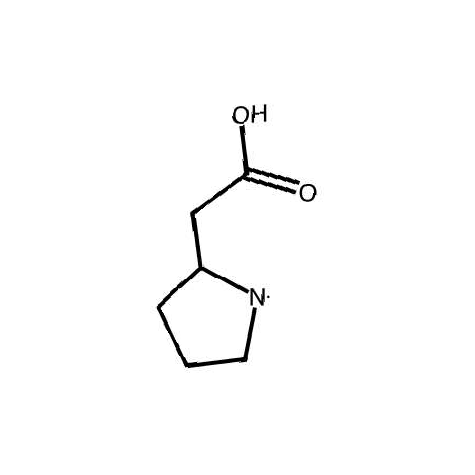 O=C(O)CC1CCC[N]1